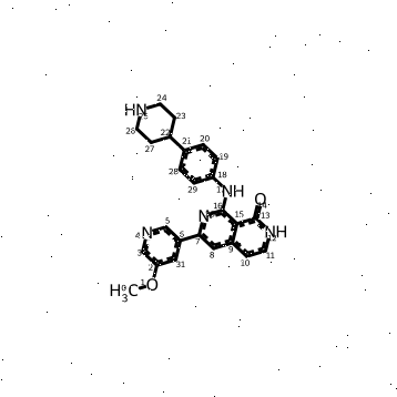 COc1cncc(-c2cc3cc[nH]c(=O)c3c(Nc3ccc(C4CCNCC4)cc3)n2)c1